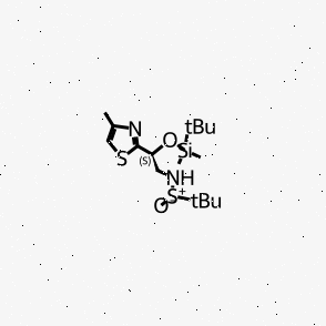 Cc1csc([C@H](CN[S+]([O-])C(C)(C)C)O[Si](C)(C)C(C)(C)C)n1